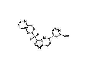 C#Cc1cc(-c2ccc3nnc(C(F)(F)c4ccc5ncccc5c4)n3n2)ccn1